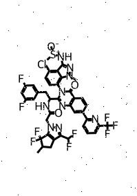 CC1Cc2c(C(F)F)nn(CC(=O)NC(Cc3cc(F)cc(F)c3)c3nc4cc(-c5cccc(C(F)(F)F)n5)ccc4c(=O)n3-c3ccc(Cl)c4c(N[S+](C)[O-])nn(C)c34)c2C1(F)F